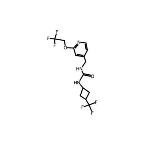 O=C(NCc1ccnc(OCC(F)(F)F)c1)NC1CC(C(F)(F)F)C1